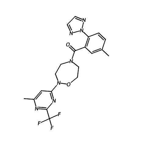 Cc1ccc(-n2nccn2)c(C(=O)N2CCON(c3cc(C)nc(C(F)(F)F)n3)CC2)c1